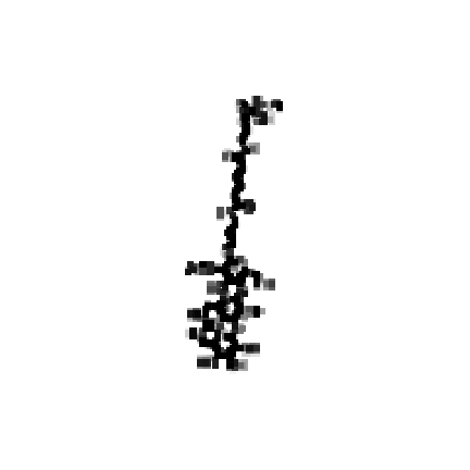 CCCOP(=O)(O)OCCNC(=O)CCCCC(=O)NCCCO[C@H]1OC(CO)=C(OC2O[C@H](CO)[C@H](O)[C@@H](OC3OC(CO)=C(O)C(O)=C3O)[C@H]2O)C(O)=C1NC(C)=O